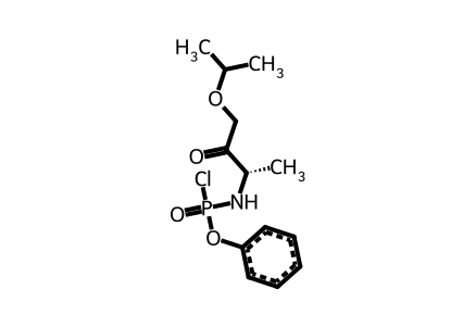 CC(C)OCC(=O)[C@H](C)NP(=O)(Cl)Oc1ccccc1